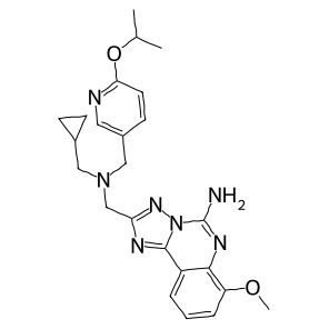 COc1cccc2c1nc(N)n1nc(CN(Cc3ccc(OC(C)C)nc3)CC3CC3)nc21